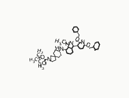 Cn1nc(-c2ccc(OCc3ccccc3)nc2OCc2ccccc2)c2cccc(NC3CCC4(CC3)CCN(C(=O)OC(C)(C)C)C4)c21